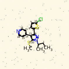 CCC(C)n1nc(-c2ccc(Cl)s2)c(-c2ccncc2)c1SC